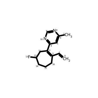 C=CC1=C(c2cc(C)ncn2)CC(F)CCC1